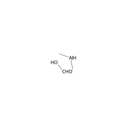 O=CO.[CH3][AlH][CH3]